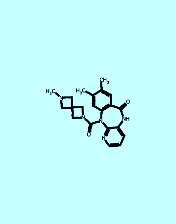 Cc1cc2c(cc1C)N(C(=O)N1CC3(CN(C)C3)C1)c1ncccc1NC2=O